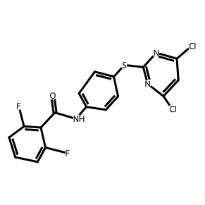 O=C(Nc1ccc(Sc2nc(Cl)cc(Cl)n2)cc1)c1c(F)cccc1F